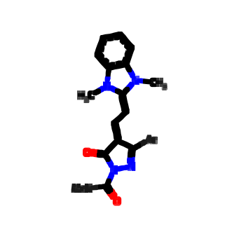 CNC(=O)N1N=C(C(C)=O)/C(=C\C=C2N(C)c3ccccc3N2C)C1=O